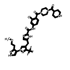 COCCc1n[nH]cc1-n1cc(Cc2cnc(C(=O)Nc3ccc(C(=O)N4CCN(C(=O)C5CCNCC5)CC4)c(Cl)c3)[nH]2)c(C(F)(F)F)n1